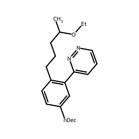 CCCCCCCCCCc1ccc(CCCC(C)OCC)c(-c2cccnn2)c1